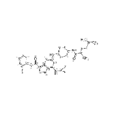 CN(C)CCN(C)C(=O)NC1CCC(Nc2cc(NC3CC3)c3ncc(C(=O)Nc4ccncc4F)n3n2)CC1